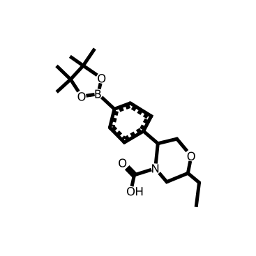 CCC1CN(C(=O)O)C(c2ccc(B3OC(C)(C)C(C)(C)O3)cc2)CO1